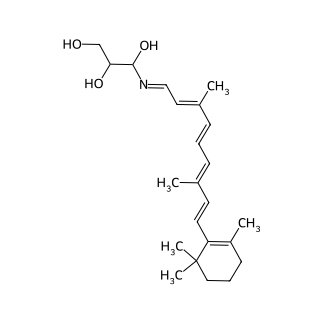 CC(=CC=NC(O)C(O)CO)/C=C/C=C(C)/C=C/C1=C(C)CCCC1(C)C